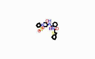 CS(=O)(=O)c1ccccc1N1CCC(NC(=O)C2(NC(=O)c3cc4ccccc4s3)CCCCC2)C(=O)C1